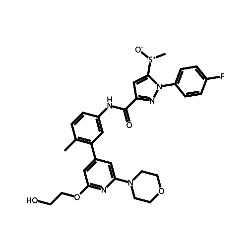 Cc1ccc(NC(=O)c2cc([S+](C)[O-])n(-c3ccc(F)cc3)n2)cc1-c1cc(OCCO)nc(N2CCOCC2)c1